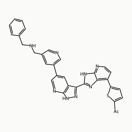 CC(=O)c1ccc(-c2ccnc3[nH]c(-c4n[nH]c5ncc(-c6cncc(CNCc7ccccc7)c6)cc45)nc23)s1